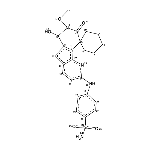 CON1C(=O)C2(CCCCC2)n2c(cc3cnc(Nc4ccc(S(N)(=O)=O)cc4)nc32)C1O